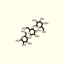 OCC1O[C@@H](O[C@H]2C(CO)O[C@@H](O[C@H]3C(CO)O[C@H](O)C(O)[C@@H]3O)C(O)[C@@H]2O)C(O)[C@H](O)[C@@H]1O